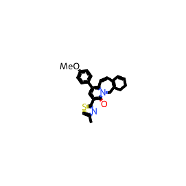 COc1ccc(-c2cc(-c3nc(C)cs3)c(=O)n3c2C=CC2=C(CCC=C2)C3)cc1